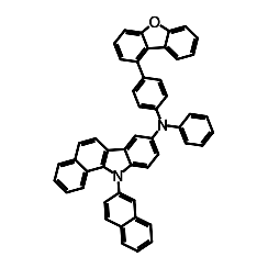 c1ccc(N(c2ccc(-c3cccc4oc5ccccc5c34)cc2)c2ccc3c(c2)c2ccc4ccccc4c2n3-c2ccc3ccccc3c2)cc1